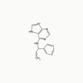 C=CC(Nc1ncnc2c1NC=[N+]2)c1ccccc1